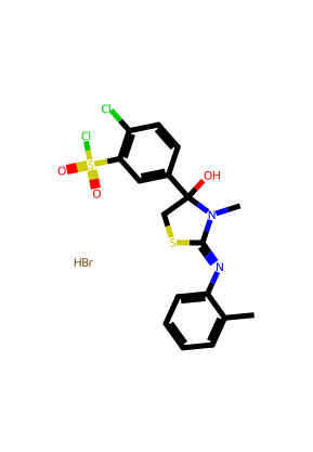 Br.Cc1ccccc1N=C1SCC(O)(c2ccc(Cl)c(S(=O)(=O)Cl)c2)N1C